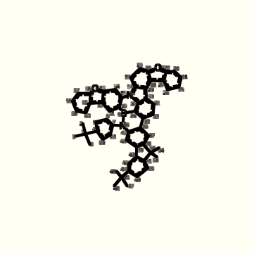 CC(C)(C)c1ccc(N2B3c4cc5c(cc4-n4c6ccc7oc8ccccc8c7c6c6ccc(c3c64)-c3cc4c(cc32)-c2cc(C(C)(C)C)ccc2C4(C)C)oc2ccccc25)cc1